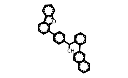 CC(c1ccc(-c2cccc3c2oc2ccccc23)cc1)c1ccccc1-c1ccc2ccccc2c1